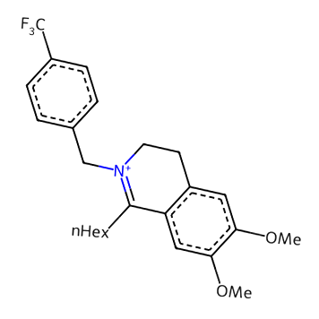 CCCCCCC1=[N+](Cc2ccc(C(F)(F)F)cc2)CCc2cc(OC)c(OC)cc21